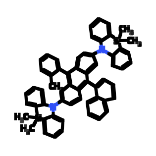 Cc1ccccc1-c1c2cc(N3c4ccccc4[Si](C)(C)c4ccccc43)ccc2c(-c2cccc3ccccc23)c2cc(N3c4ccccc4[Si](C)(C)c4ccccc43)ccc12